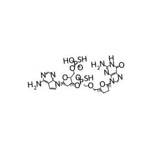 Nc1nc2c(ncn2[C@H]2CC[C@@H](COCP(=O)(S)O[C@H]3C[C@H](n4ccc5c(N)ncnc54)OC3COP(=O)(O)S)O2)c(=O)[nH]1